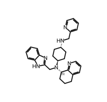 c1ccc(CN[C@H]2CC[C@H](N(Cc3nc4ccccc4[nH]3)[C@H]3CCCc4cccnc43)CC2)nc1